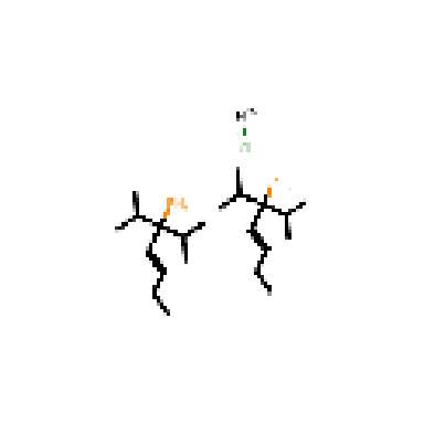 CCC=CC(P)(C(C)C)C(C)C.CCC=CC(P)(C(C)C)C(C)C.[Cl-].[Cl-].[Ni+2]